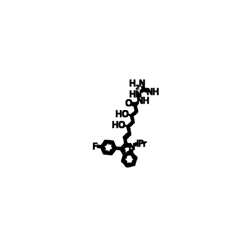 CC(C)n1c(/C=C/[C@H](O)C[C@H](O)CC(=O)NNC(=N)N)c(-c2ccc(F)cc2)c2ccccc21